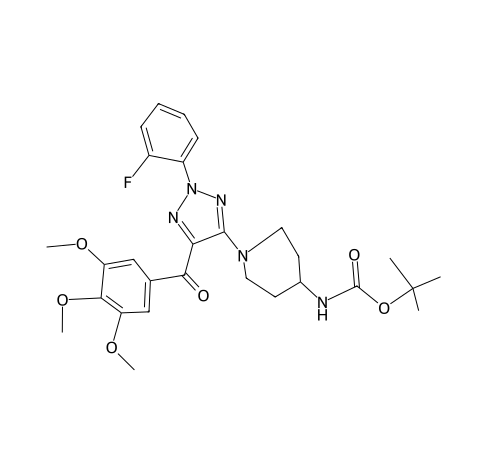 COc1cc(C(=O)c2nn(-c3ccccc3F)nc2N2CCC(NC(=O)OC(C)(C)C)CC2)cc(OC)c1OC